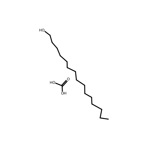 CCCCCCCCCCCCCCCO.O=C(O)O